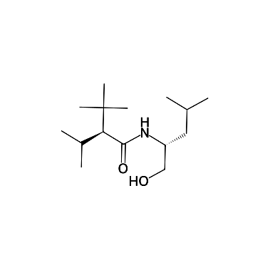 CC(C)C[C@H](CO)NC(=O)[C@@H](C(C)C)C(C)(C)C